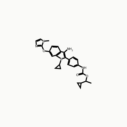 CC(OC(=O)Nc1ccc(-c2c(N)c3ccc(Oc4nccn4C)cc3n2C2CC2)cc1)C1CC1